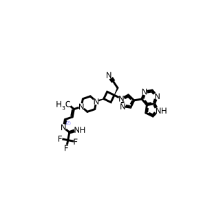 CC(=C/C=N\C(=N)C(F)(F)F)N1CCN([C@H]2C[C@](CC#N)(n3cc(-c4ncnc5[nH]ccc45)cn3)C2)CC1